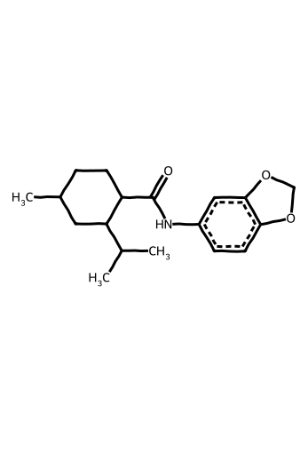 CC1CCC(C(=O)Nc2ccc3c(c2)OCO3)C(C(C)C)C1